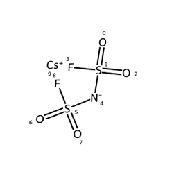 O=S(=O)(F)[N-]S(=O)(=O)F.[Cs+]